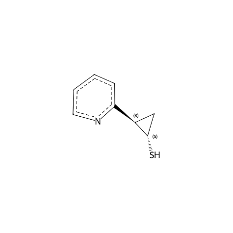 S[C@H]1C[C@@H]1c1ccccn1